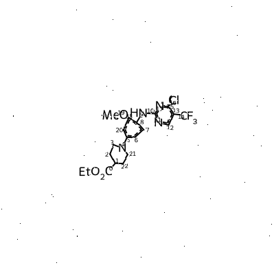 CCOC(=O)C1CCN(c2ccc(Nc3ncc(C(F)(F)F)c(Cl)n3)c(OC)c2)CC1